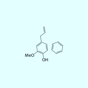 C=CCc1ccc(O)c(OC)c1.c1ccccc1